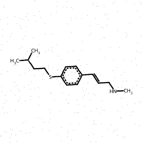 CNCC=Cc1ccc(SCCC(C)C)cc1